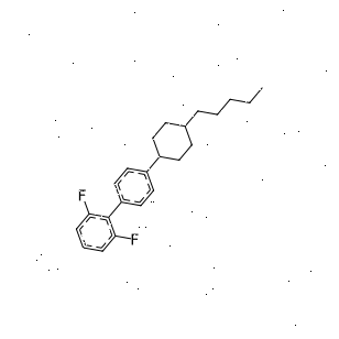 CCCCCC1CCC(c2ccc(-c3c(F)cccc3F)cc2)CC1